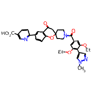 CCOc1cc(C(=O)N2CCC3(CC2)CC(=O)c2cc(-c4ccc(C(=O)O)cn4)ccc2O3)cc(OCC)c1-c1cnn(C)c1